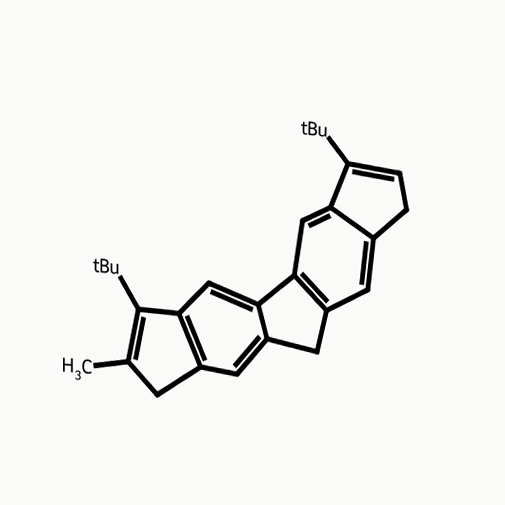 CC1=C(C(C)(C)C)c2cc3c(cc2C1)Cc1cc2c(cc1-3)C(C(C)(C)C)=CC2